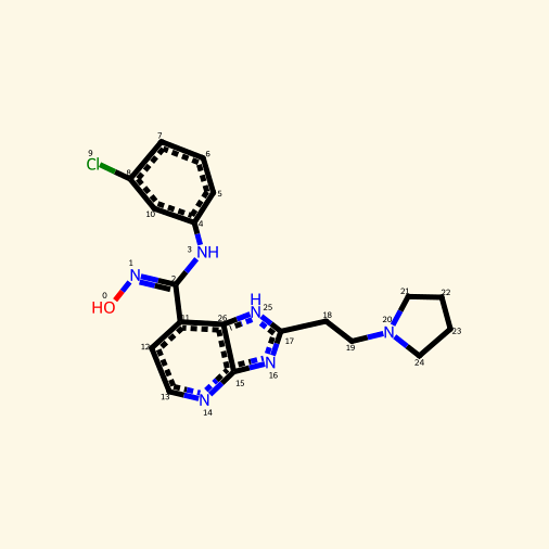 O/N=C(/Nc1cccc(Cl)c1)c1ccnc2nc(CCN3CCCC3)[nH]c12